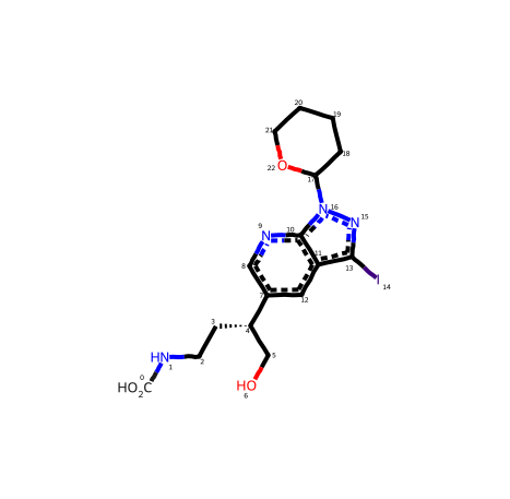 O=C(O)NCC[C@@H](CO)c1cnc2c(c1)c(I)nn2C1CCCCO1